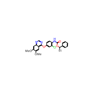 CCC(OC(=O)Nc1ccc(Oc2ncnc3cc(OC)c(OC)cc23)cc1Cl)c1ccccc1